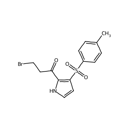 Cc1ccc(S(=O)(=O)c2cc[nH]c2C(=O)CCBr)cc1